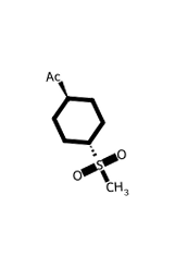 CC(=O)[C@H]1CC[C@H](S(C)(=O)=O)CC1